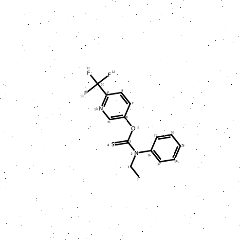 CCN(C(=S)Oc1ccc(C(F)(F)F)nc1)c1ccccc1